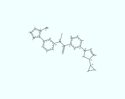 CC(C)n1cnnc1-c1cccc(N(I)C(=O)c2cc(N3C=NC(C4CC4)C3)ccn2)c1